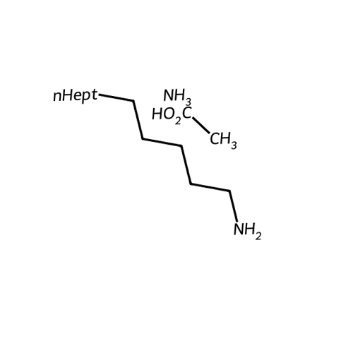 CC(=O)O.CCCCCCCCCCCCN.N